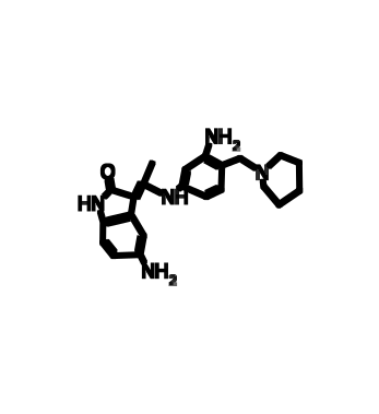 CC(Nc1ccc(CN2CCCCC2)c(N)c1)=C1C(=O)Nc2ccc(N)cc21